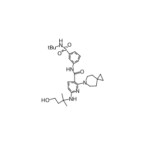 CC(C)(C)NS(=O)(=O)c1cccc(NC(=O)c2ccc(NC(C)(C)CCO)nc2N2CCC3(CC2)CC3)c1